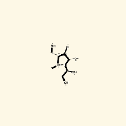 CN1[C@@H]([C@@H](O)CO)[C@@H](O)[C@H](O)[C@H]1CO